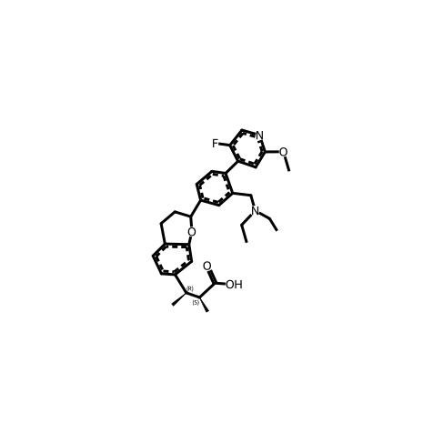 CCN(CC)Cc1cc(C2CCc3ccc([C@H](C)[C@H](C)C(=O)O)cc3O2)ccc1-c1cc(OC)ncc1F